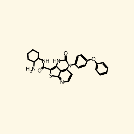 NC1CCCCC1NC(=O)c1sc2nccc3c2c1NC(=O)N3c1ccc(Oc2ccccc2)cc1